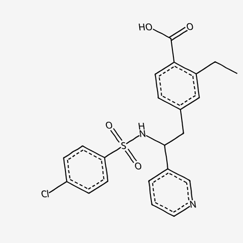 CCc1cc(CC(NS(=O)(=O)c2ccc(Cl)cc2)c2cccnc2)ccc1C(=O)O